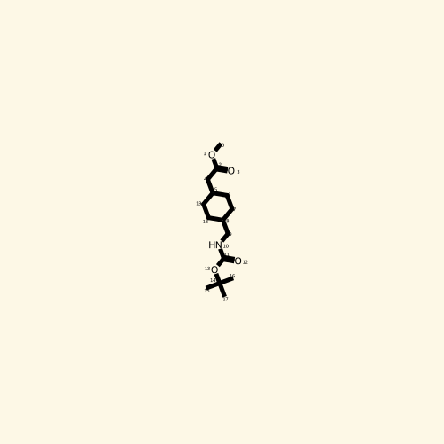 COC(=O)CC1CCC(CNC(=O)OC(C)(C)C)CC1